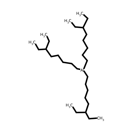 CCC(CC)CCCC[CH2][Al]([CH2]CCCCC(CC)CC)[CH2]CCCCC(CC)CC